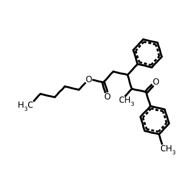 CCCCCOC(=O)CC(c1ccccc1)C(C)C(=O)c1ccc(C)cc1